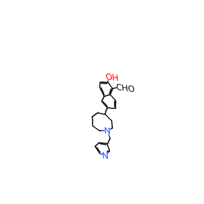 O=Cc1c(O)ccc2cc(C3CCCCN(Cc4cccnc4)CC3)ccc12